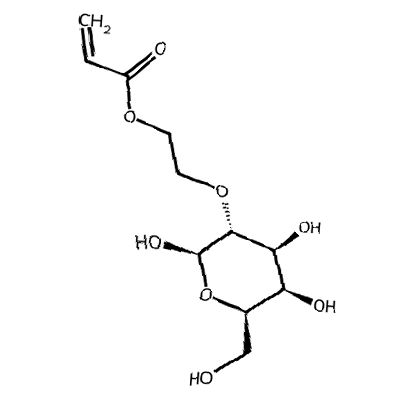 C=CC(=O)OCCO[C@@H]1[C@@H](O)[C@@H](O)[C@@H](CO)O[C@H]1O